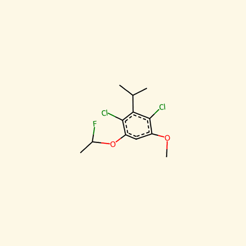 COc1cc(OC(C)F)c(Cl)c(C(C)C)c1Cl